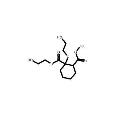 CCCCOC(=O)C1CCCCC1(OCCO)C(=O)OCCO